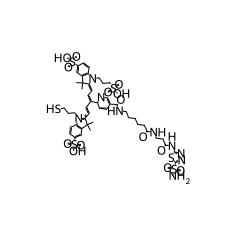 CC1(C)C(/C=C/C(=C/C=C2/N(CCCS(=O)(=O)O)c3ccc(S(=O)(=O)O)cc3C2(C)C)c2ccc(C(=O)NCCCCCC(=O)NCCC(=O)Nc3nnc(S(N)(=O)=O)s3)cn2)=[N+](CCCS)c2ccc(S(=O)(=O)O)cc21